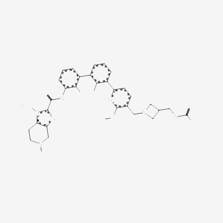 COc1nc(-c2cccc(-c3cccc(NC(=O)c4nc5c(n4C)CCN(C)C5)c3Cl)c2Cl)ccc1CN1CC(CNC(C)=O)C1